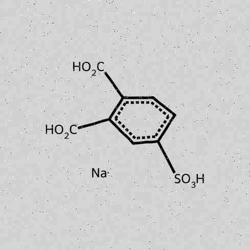 O=C(O)c1ccc(S(=O)(=O)O)cc1C(=O)O.[Na]